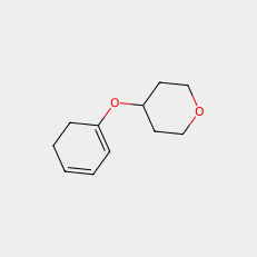 C1=CCCC(OC2CCOCC2)=C1